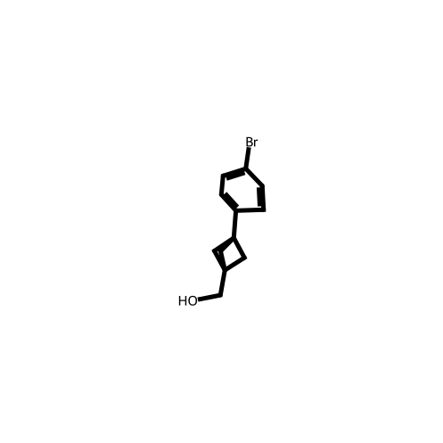 OCC12CC(c3ccc(Br)cc3)(C1)C2